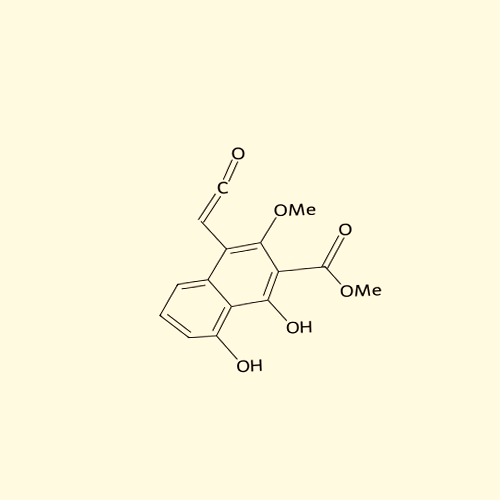 COC(=O)c1c(OC)c(C=C=O)c2cccc(O)c2c1O